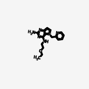 CCOCCNc1nc(N)nc2ccn(Cc3ccccn3)c12